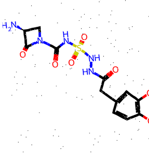 N[C@H]1CN(C(=O)NS(=O)(=O)NNC(=O)Cc2ccc(O)c(O)c2)C1=O